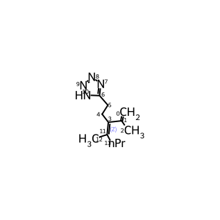 C=C(C)/C(CCc1nnn[nH]1)=C(/C)CCC